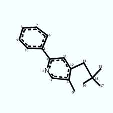 Cc1cnc(-c2ccccc2)cc1CC(C)(C)C